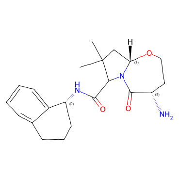 CC1(C)C[C@@H]2OCC[C@H](N)C(=O)N2C1C(=O)N[C@@H]1CCCc2ccccc21